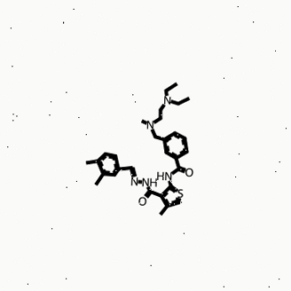 CCN(CC)CCN(C)Cc1cccc(C(=O)Nc2scc(C)c2C(=O)NN=Cc2ccc(C)c(C)c2)c1